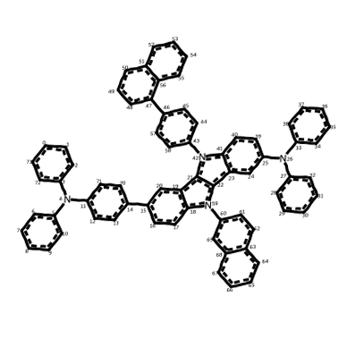 c1ccc(N(c2ccccc2)c2ccc(-c3ccc4c(c3)c3c(c5cc(N(c6ccccc6)c6ccccc6)ccc5n3-c3ccc(-c5cccc6ccccc56)cc3)n4-c3ccc4ccccc4c3)cc2)cc1